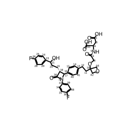 O=C(O)CC(NC(=O)COC1(CCc2ccc(C3[C@@H](CCC(O)c4ccc(F)cc4)C(=O)N3c3ccc(F)cc3)cc2)COC1)C(=O)O